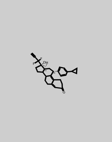 C#CC(F)(F)[C@]1(O)CCC2C3CCC4=CC(=O)CCC4=C3[C@@H](c3ccc(C4CC4)cc3)C[C@@]21C